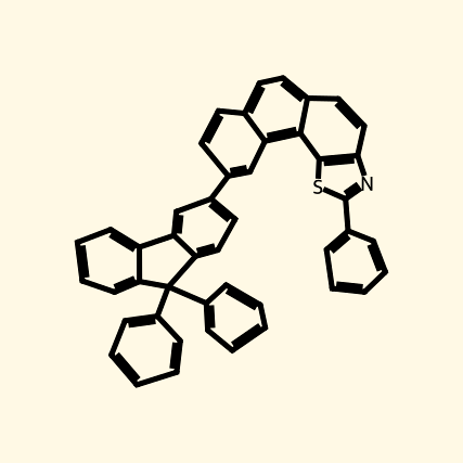 c1ccc(-c2nc3ccc4ccc5ccc(-c6ccc7c(c6)-c6ccccc6C7(c6ccccc6)c6ccccc6)cc5c4c3s2)cc1